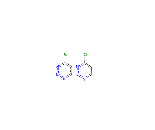 Clc1ccnnn1.Clc1ccnnn1